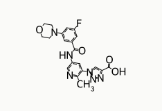 Cc1ncc(NC(=O)c2cc(F)cc(N3CCOCC3)c2)cc1-n1cc(C(=O)O)nn1